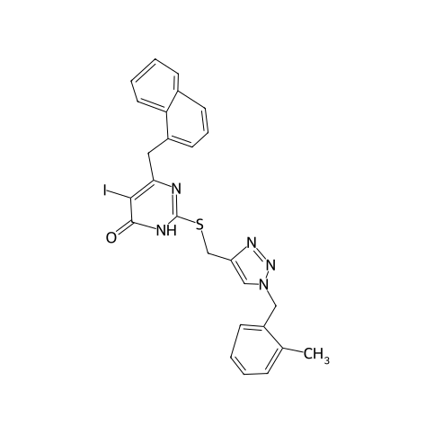 Cc1ccccc1Cn1cc(CSc2nc(Cc3cccc4ccccc34)c(I)c(=O)[nH]2)nn1